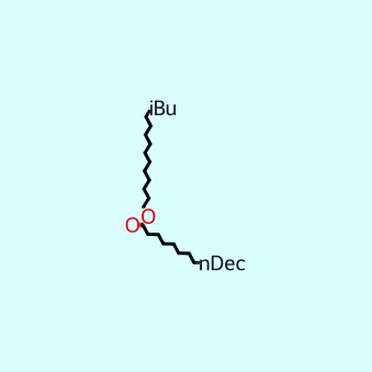 CCCCCCCCCCCCCCCCCC(=O)OCCCCCCCCCCCC(C)CC